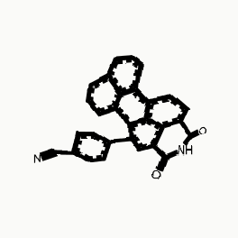 N#Cc1ccc(-c2cc3c4c(ccc5c6cccc7cccc(c2c45)c76)C(=O)NC3=O)cc1